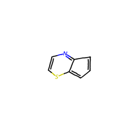 c1cc2nccsc-2c1